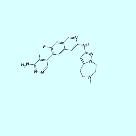 Cc1c(-c2cc3cc(Nc4cc5n(n4)CCN(C)CC5)ncc3cc2F)cnnc1N